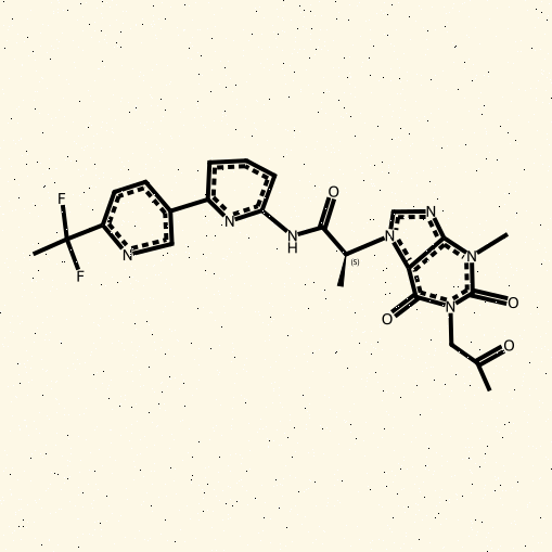 CC(=O)Cn1c(=O)c2c(ncn2[C@@H](C)C(=O)Nc2cccc(-c3ccc(C(C)(F)F)nc3)n2)n(C)c1=O